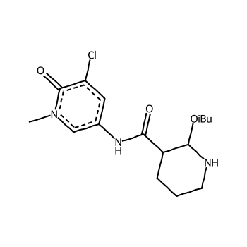 CC(C)COC1NCCCC1C(=O)Nc1cc(Cl)c(=O)n(C)c1